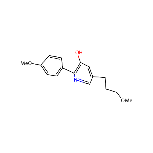 COCCCc1cnc(-c2ccc(OC)cc2)c(O)c1